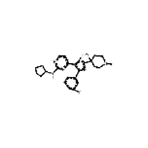 CN1CCC(O)(c2nc(-c3cccc(F)c3)c(-c3ccnc(NC4CCCC4)n3)s2)CC1